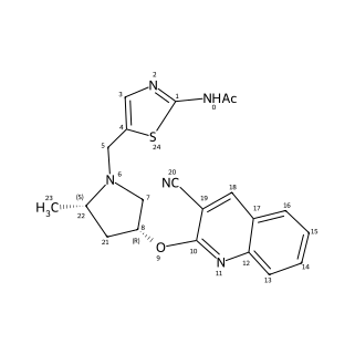 CC(=O)Nc1ncc(CN2C[C@H](Oc3nc4ccccc4cc3C#N)C[C@@H]2C)s1